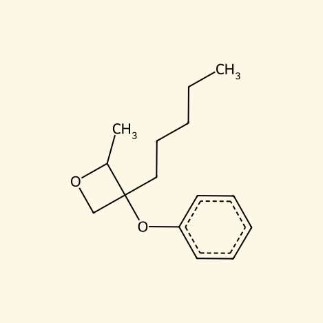 CCCCCC1(Oc2ccccc2)COC1C